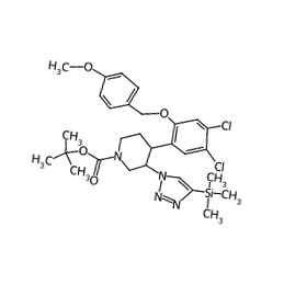 COc1ccc(COc2cc(Cl)c(Cl)cc2C2CCN(C(=O)OC(C)(C)C)CC2n2cc([Si](C)(C)C)nn2)cc1